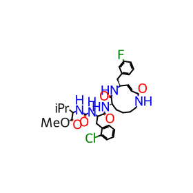 COC(=O)C(NC(=O)NC(Cc1ccccc1Cl)C(=O)N[C@H]1CCCCNC(=O)/C=C/[C@H](Cc2cccc(F)c2)NC1=O)C(C)C